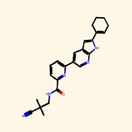 CC(C)(C#N)CNC(=O)c1cccc(-c2cnc3[nH]c(C4=CCCCC4)cc3c2)n1